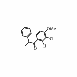 COc1ccc(C(=O)C(C)c2ccccc2)c(Cl)c1Cl